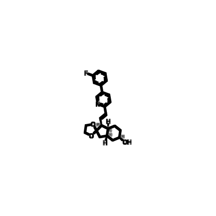 O[C@@H]1CC[C@H]2[C@H](C1)CC1(OCCO1)[C@H]2C=Cc1ccc(-c2cccc(F)c2)cn1